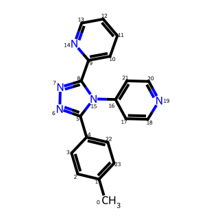 Cc1ccc(-c2nnc(-c3ccccn3)n2-c2ccncc2)cc1